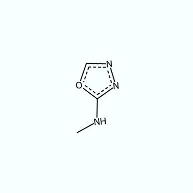 CNc1nnco1